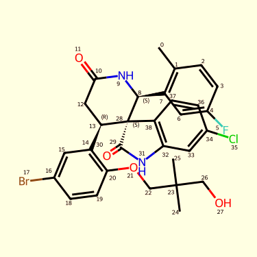 Cc1ccc(F)cc1[C@@H]1NC(=O)C[C@H](c2cc(Br)ccc2OCC(C)(C)CO)[C@@]12C(=O)Nc1cc(Cl)ccc12